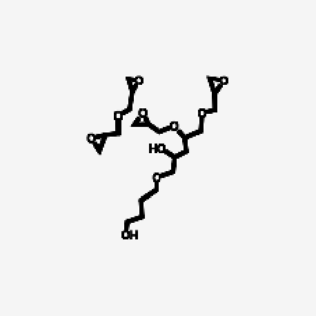 C(OCC1CO1)C1CO1.OCCCCOCC(O)CC(COCC1CO1)OCC1CO1